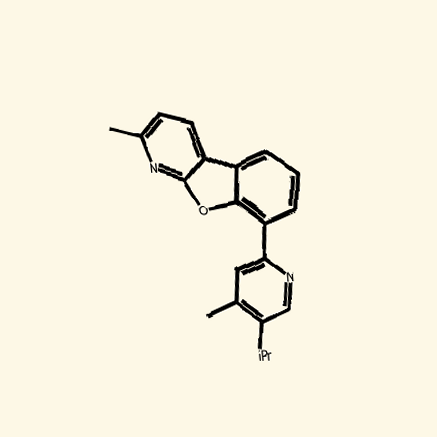 Cc1ccc2c(n1)oc1c(-c3cc(C)c(C(C)C)cn3)cccc12